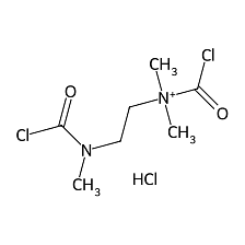 CN(CC[N+](C)(C)C(=O)Cl)C(=O)Cl.Cl